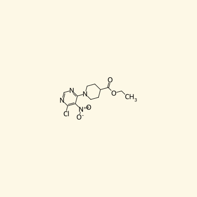 CCOC(=O)C1CCN(c2ncnc(Cl)c2[N+](=O)[O-])CC1